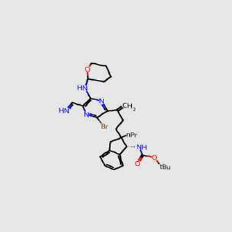 C=C(CCC1(CCC)Cc2ccccc2[C@H]1NC(=O)OC(C)(C)C)c1nc(NC2CCCCO2)c(C=N)nc1Br